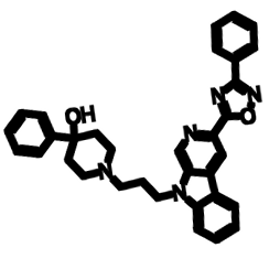 OC1(c2ccccc2)CCN(CCCn2c3ccccc3c3cc(-c4nc(-c5ccccc5)no4)ncc32)CC1